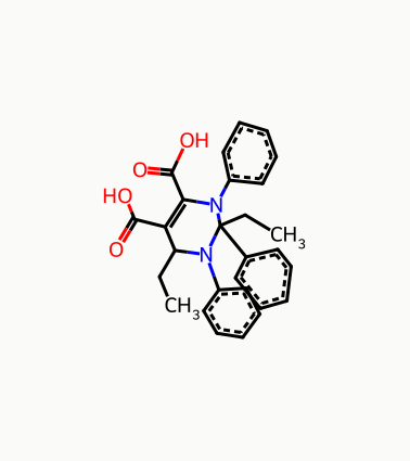 CCC1C(C(=O)O)=C(C(=O)O)N(c2ccccc2)C(CC)(c2ccccc2)N1c1ccccc1